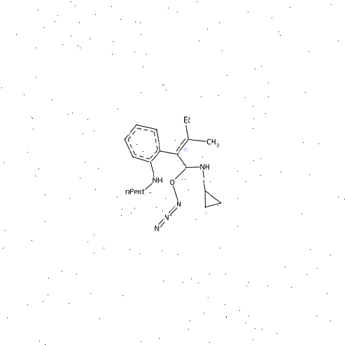 CCCCCNc1ccccc1/C(=C(/C)CC)C(NC1CC1)ON=[N+]=[N-]